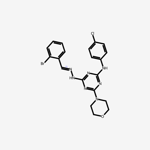 Clc1ccc(Nc2nc(N/N=C/c3ccccc3Br)nc(N3CCOCC3)n2)cc1